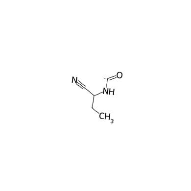 CCC(C#N)N[C]=O